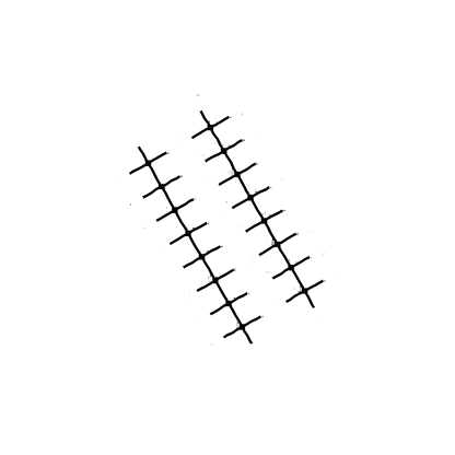 Cl.Cl.FC(F)(F)C(F)(F)C(F)(F)C(F)(F)C(F)(F)C(F)(F)C(F)(F)C(F)(F)F.FC(F)(F)C(F)(F)C(F)(F)C(F)(F)C(F)(F)C(F)(F)C(F)(F)C(F)(F)F